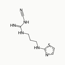 N#CNC(=N)NCCCNc1nccs1